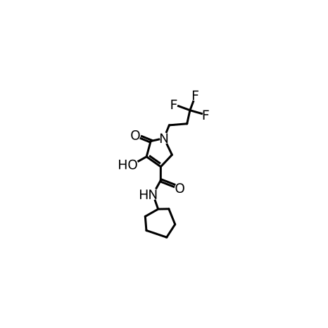 O=C(NC1CCCCC1)C1=C(O)C(=O)N(CCC(F)(F)F)C1